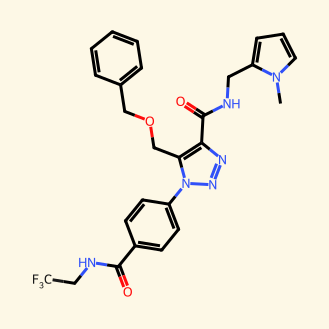 Cn1cccc1CNC(=O)c1nnn(-c2ccc(C(=O)NCC(F)(F)F)cc2)c1COCc1ccccc1